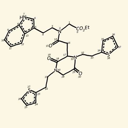 CCOC(=O)CN(CCc1c[nH]c2ccccc12)C(=O)CC1C(=O)N(CCc2cccs2)CC(=O)N1CCc1cccs1